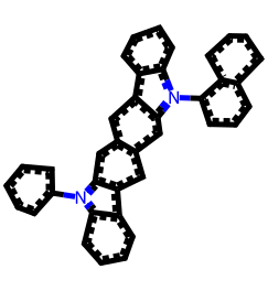 c1ccc(-n2c3ccccc3c3cc4cc5c(cc4cc32)c2ccccc2n5-c2cccc3ccccc23)cc1